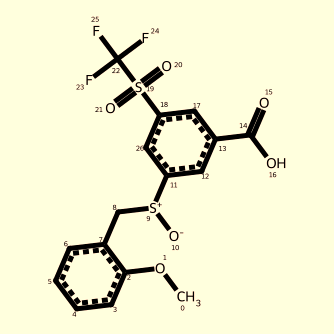 COc1ccccc1C[S+]([O-])c1cc(C(=O)O)cc(S(=O)(=O)C(F)(F)F)c1